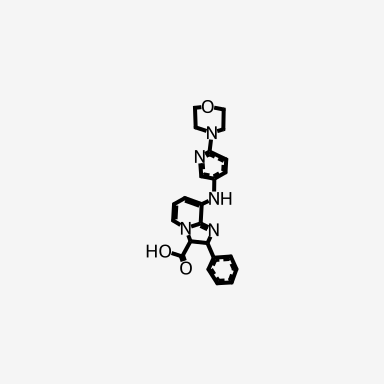 O=C(O)C1C(c2ccccc2)N=C2C(Nc3ccc(N4CCOCC4)nc3)=CC=CN21